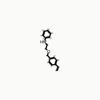 C=Cc1ccc(COCCNc2ccccc2)cc1